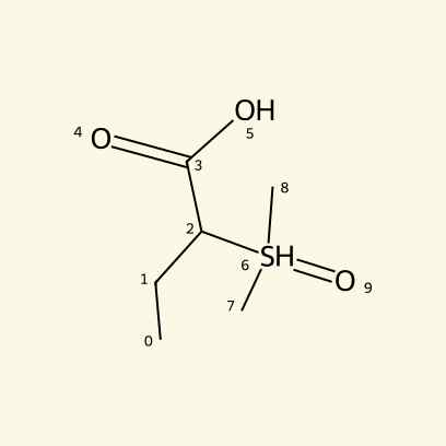 CCC(C(=O)O)[SH](C)(C)=O